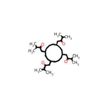 CC(C)C(=O)CC1CCCC(CC(=O)C(C)C)CCC(CC(=O)C(C)C)CCCC(CC(=O)C(C)C)CC1